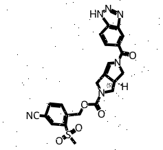 CS(=O)(=O)c1cc(C#N)ccc1COC(=O)N1CC2=CN(C(=O)c3ccc4[nH]nnc4c3)C[C@H]2C1